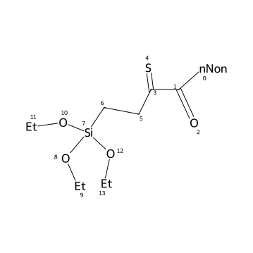 CCCCCCCCCC(=O)C(=S)CC[Si](OCC)(OCC)OCC